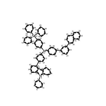 c1ccc(-n2c3ccccc3c3c(-c4ccc(N(c5ccc(-c6cccc(-c7ccc8ccccc8c7)c6)cc5)c5ccc([Si](c6ccccc6)(c6ccccc6)c6ccccc6)cc5)cc4)cccc32)cc1